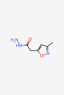 Cc1cc(CC(=O)NN)on1